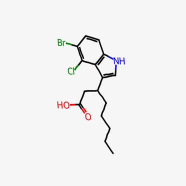 CCCCCC(CC(=O)O)c1c[nH]c2ccc(Br)c(Cl)c12